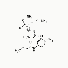 CCCC(=O)Nc1ccc(C=O)cc1.N.NCC(=O)O.NCCC[C@H](N)C(=O)O